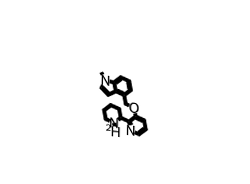 [2H]N1CCCCC1c1ncccc1OCc1cccc2c1ccn2C